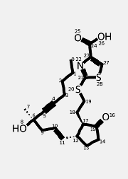 CCCCC#C[C@](C)(O)C/C=C/[C@H]1CCC(=O)[C@@H]1CCSc1nc(C(=O)O)cs1